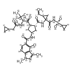 C=CC1CC1(NC(=O)[C@@H]1C[C@@H](NC(=O)c2cnc3c(c(C)nn3C)c2Cl)CN1C(=O)[C@@H](NC(=O)CC1CC1)C(C)(C)C)C(=O)NS(=O)(=O)C1CC1